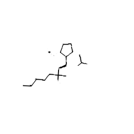 CCCCCC(C)(O)/C=C/C1[C@@H](CC(O)O)CC[C@H]1N=O